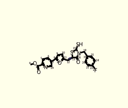 COC(=O)c1ccc(-c2ccc(/C=C3\SC(S)N(Cc4ccc(F)cc4)C3=O)o2)cn1